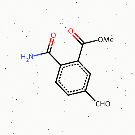 COC(=O)c1cc(C=O)ccc1C(N)=O